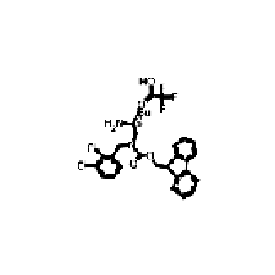 CC[C@H](C)[C@H](N)CN(Cc1cccc(Cl)c1Cl)C(=O)OCC1c2ccccc2-c2ccccc21.O=C(O)C(F)(F)F